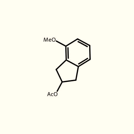 COc1cccc2c1CC(OC(C)=O)C2